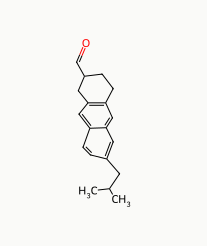 CC(C)Cc1ccc2cc3c(cc2c1)CCC(C=O)C3